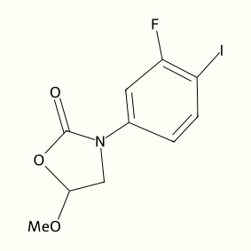 COC1CN(c2ccc(I)c(F)c2)C(=O)O1